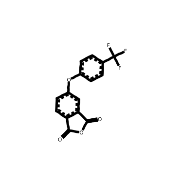 O=C1OC(=O)c2cc(Oc3ccc(C(F)(F)F)cc3)ccc21